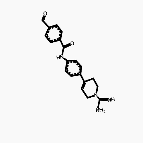 N=C(N)N1CC=C(c2ccc(NC(=O)c3ccc(C=O)cc3)cc2)CC1